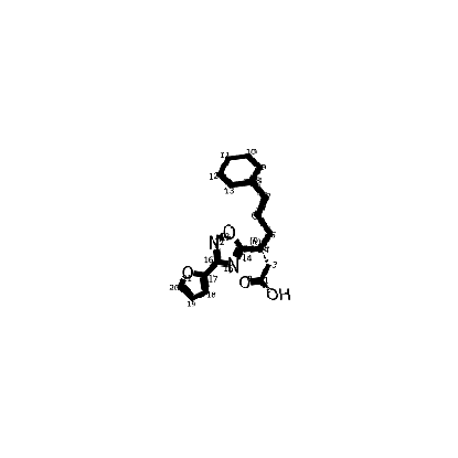 O=C(O)C[C@@H](CCCC1CCCCC1)c1nc(-c2ccco2)no1